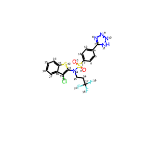 O=S(=O)(c1ccc(-c2nnn[nH]2)cc1)N(CCC(F)(F)F)c1sc2ccccc2c1Cl